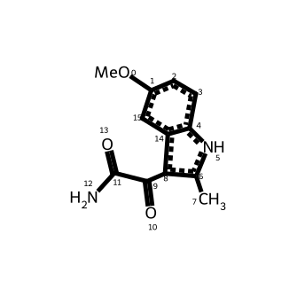 COc1ccc2[nH]c(C)c(C(=O)C(N)=O)c2c1